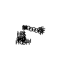 O=C(CCOCCOCCOCCOCCn1cc(CCCCNC(=S)Nc2ccc(O[C@H]3O[C@H](CCP(=O)(O)O)[C@@H](O)[C@H](O)[C@@H]3O)cc2)nn1)Oc1c(F)c(F)c(F)c(F)c1F